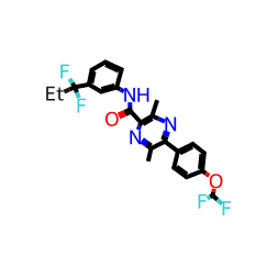 CCC(F)(F)c1cccc(NC(=O)c2nc(C)c(-c3ccc(OC(F)F)cc3)nc2C)c1